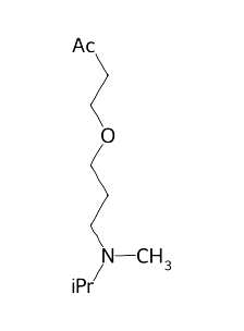 CC(=O)CCOCCCN(C)C(C)C